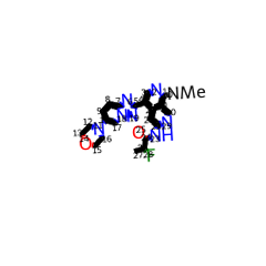 CNc1ncc(-c2nc3ccc(N4CCOCC4)cn3n2)c2cc(NC(=O)C(C)F)ncc12